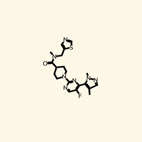 Cc1cnn(C)c1-c1nc(N2CCC(C(=O)N(C)Cc3cncs3)CC2)ncc1F